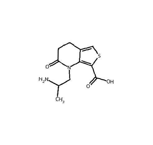 CC(N)CN1C(=O)CCc2csc(C(=O)O)c21